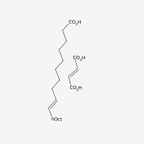 CCCCCCCCC=CCCCCCCCC(=O)O.O=C(O)C=CC(=O)O